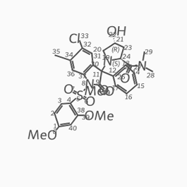 COc1ccc(S(=O)(=O)N2C(=O)C(c3ccccc3OC)(N3C[C@H](O)C[C@H]3C(=O)N(C)C)c3cc(Cl)c(C)cc32)c(OC)c1